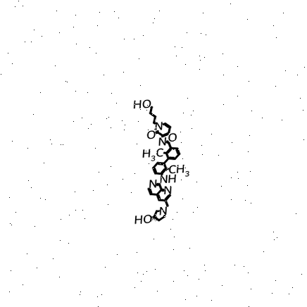 Cc1c(Nc2nccc3cc(CN4CC[C@@H](O)C4)cnc23)cccc1-c1cccc(-c2nc3c(=O)n(CCCCO)ccc3o2)c1C